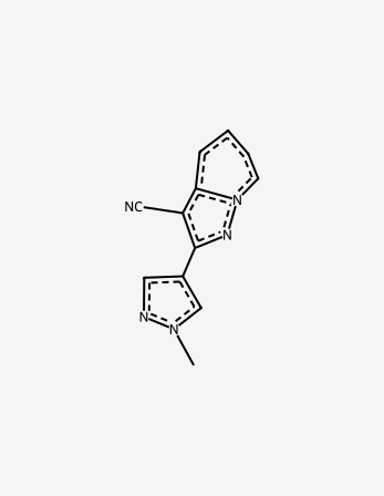 Cn1cc(-c2nn3ccccc3c2C#N)cn1